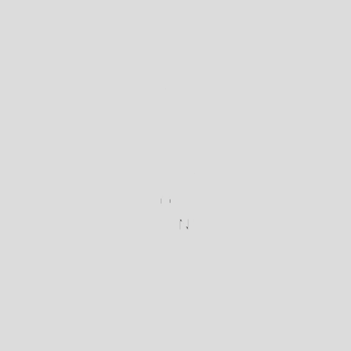 CC(C)C1CCC(C[N+]2([O-])CCCCC2)CC1